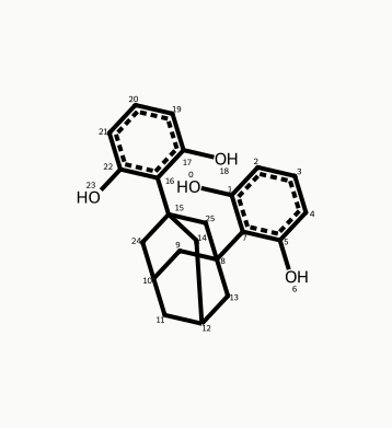 Oc1cccc(O)c1C12CC3CC(C1)CC(c1c(O)cccc1O)(C3)C2